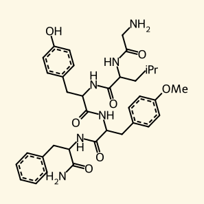 COc1ccc(CC(NC(=O)C(Cc2ccc(O)cc2)NC(=O)C(CC(C)C)NC(=O)CN)C(=O)NC(Cc2ccccc2)C(N)=O)cc1